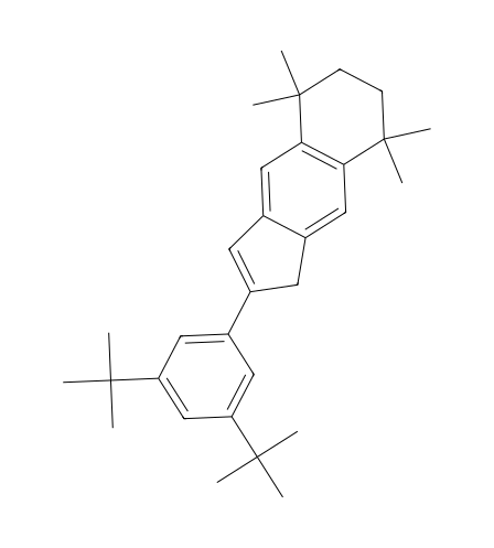 CC(C)(C)c1cc(C2=Cc3cc4c(cc3C2)C(C)(C)CCC4(C)C)cc(C(C)(C)C)c1